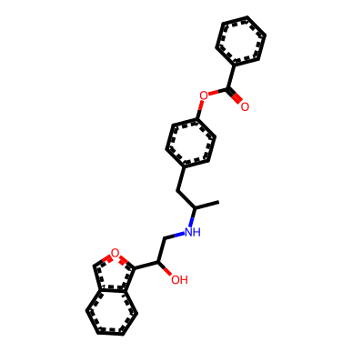 CC(Cc1ccc(OC(=O)c2ccccc2)cc1)NCC(O)c1occ2ccccc12